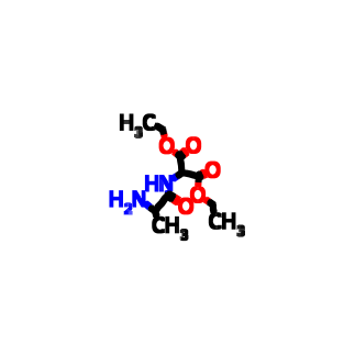 CCOC(=O)C(NC(=O)C(C)N)C(=O)OCC